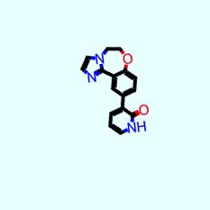 O=c1[nH]cccc1-c1ccc2c(c1)-c1nccn1CCO2